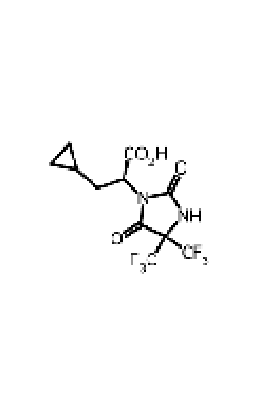 O=C(O)[C@H](CC1CC1)N1C(=O)NC(C(F)(F)F)(C(F)(F)F)C1=O